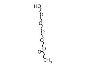 CCCC(=O)OCCOCCOCCOCCOCCO